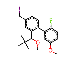 COc1ccc(F)c(-c2ccc(CI)cc2[C@@H](OC)C(C)(C)C)c1